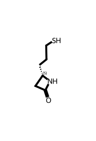 O=C1C[C@H](CCCS)N1